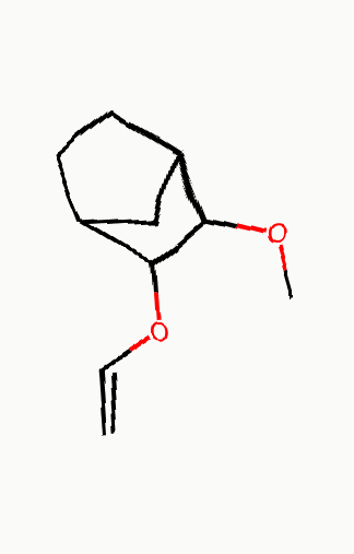 C=COC1C2CCC(C2)C1OC